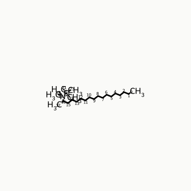 CCCCCCCCCCCCCCCCC(C)N(C)[Si](C)(C)C